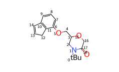 CC(C)(C)N1CC(COc2cccc3c2CC=C3)OCC1=O